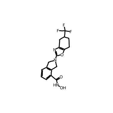 O=C(NO)c1cccc2c1CN(c1nc3c(o1)CCC(C(F)(F)F)C3)C2